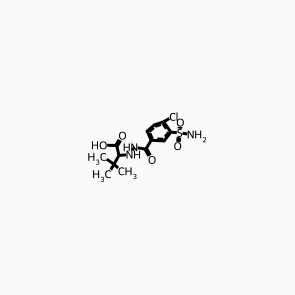 CC(C)(C)C(NNC(=O)c1ccc(Cl)c(S(N)(=O)=O)c1)C(=O)O